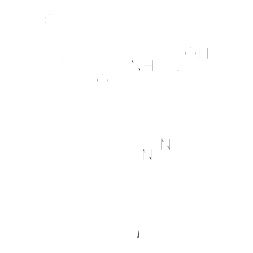 CC[C@H]1CC[C@H](n2cc3cc(NC(=O)c4cccc(Cl)c4Cl)c(C(C)(C)O)cc3n2)CC1